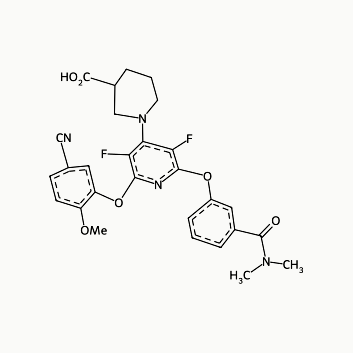 COc1ccc(C#N)cc1Oc1nc(Oc2cccc(C(=O)N(C)C)c2)c(F)c(N2CCCC(C(=O)O)C2)c1F